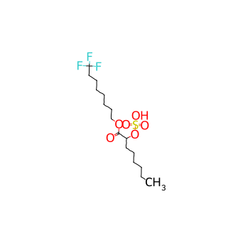 CCCCCCC(OS(=O)(=O)O)C(=O)OCCCCCCCC(F)(F)F